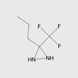 CCCC1(C(F)(F)F)NN1